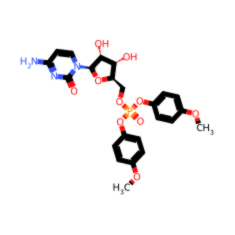 COc1ccc(OP(=O)(OC[C@H]2O[C@@H](n3ccc(N)nc3=O)[C@H](O)[C@@H]2O)Oc2ccc(OC)cc2)cc1